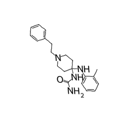 Cc1ccccc1NC1(NC(N)=O)CCN(CCc2ccccc2)CC1